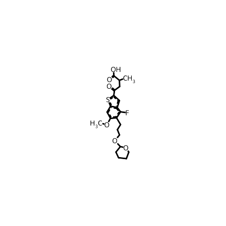 COc1cc2sc(C(=O)CC(C)C(=O)O)cc2c(F)c1CCCOC1CCCCO1